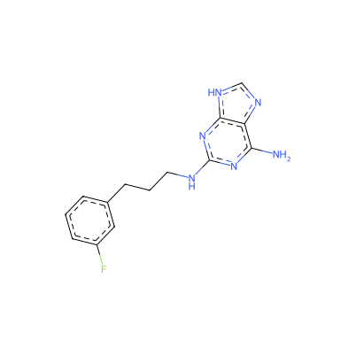 Nc1nc(NCCCc2cccc(F)c2)nc2[nH]cnc12